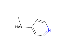 C[AsH]c1ccncc1